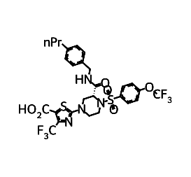 CCCc1ccc(CNC(=O)[C@H]2CN(c3nc(C(F)(F)F)c(C(=O)O)s3)CCN2S(=O)(=O)c2ccc(OC(F)(F)F)cc2)cc1